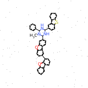 CN1C(c2ccccc2)NC(c2ccc3sc4ccccc4c3c2)NC1c1ccc2c(c1)oc1ccc(-c3cccc4c3oc3ccccc34)cc12